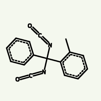 Cc1ccccc1C(N=C=O)(N=C=O)c1ccccc1